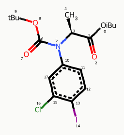 CC(C)COC(=O)[C@H](C)N(C(=O)OC(C)(C)C)c1ccc(I)c(Cl)c1